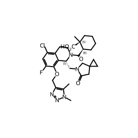 Cc1c(COc2c(F)cc(Cl)c3c2[C@@H](CN2CC4(CC4)CC2=O)N(C(=O)[C@@H]2CCCC[C@]2(C)C(=O)O)CC3)nnn1C